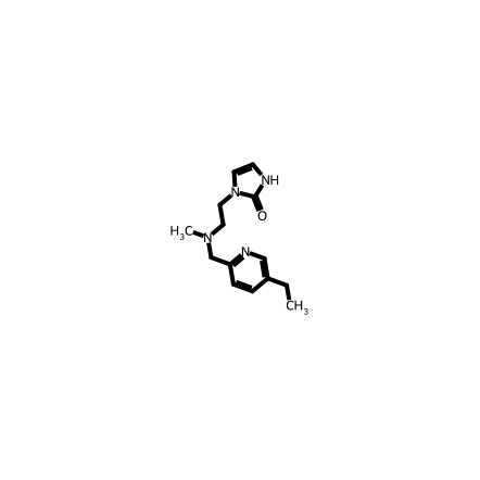 CCc1ccc(CN(C)CCn2cc[nH]c2=O)nc1